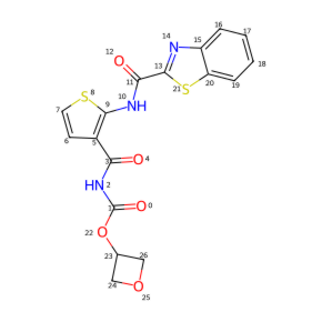 O=C(NC(=O)c1ccsc1NC(=O)c1nc2ccccc2s1)OC1COC1